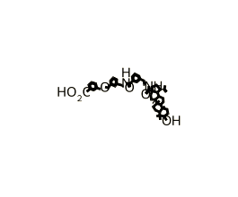 C=C(C)[C@@H]1CCC2(C(=O)NCCc3cccc(C(=O)NCc4cccc(COCc5cccc(C(=O)O)c5)c4)c3)CC[C@]3(C)C(CCC4C5(C)CCC(O)C(C)(C)C5CCC43C)C12